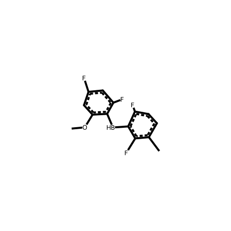 COc1cc(F)cc(F)c1Bc1c(F)ccc(C)c1F